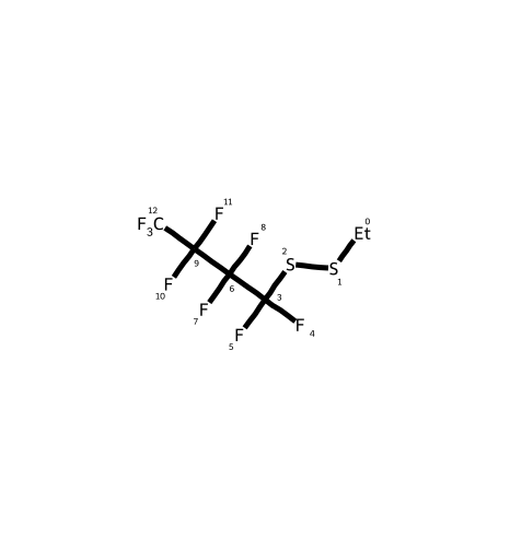 CCSSC(F)(F)C(F)(F)C(F)(F)C(F)(F)F